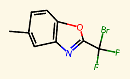 Cc1ccc2oc(C(F)(F)Br)nc2c1